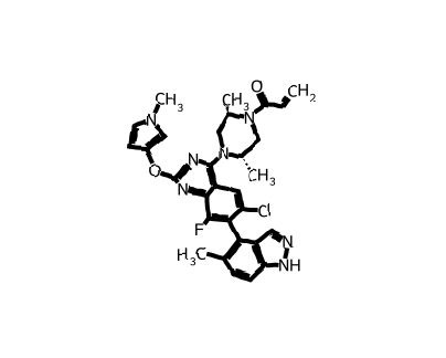 C=CC(=O)N1C[C@H](C)N(c2nc(Oc3ccn(C)c3)nc3c(F)c(-c4c(C)ccc5[nH]ncc45)c(Cl)cc23)C[C@H]1C